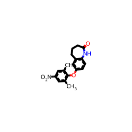 Cc1cc([N+](=O)[O-])cc(C)c1Oc1ccc2c(c1)CCCC(=O)N2